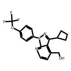 OCc1ccnc2c1c(C1CCC1)nn2-c1ccc(OC(F)(F)F)cc1